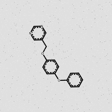 c1ccc(Oc2ccc(OCc3cncnc3)cc2)cc1